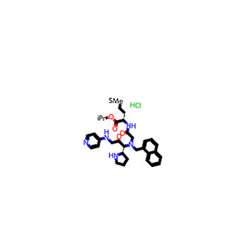 CSCC[C@H](NC(=O)CN(Cc1cccc2ccccc12)C(C(=O)CNc1ccncc1)[C@@H]1CCCN1)C(=O)OC(C)C.Cl